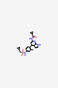 Cc1cc(NS(=O)(=O)CC2CC2)ccc1-c1cc(NC(=O)C2CC2)nc2[nH]ccc12